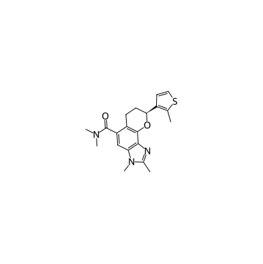 Cc1sccc1[C@@H]1CCc2c(C(=O)N(C)C)cc3c(nc(C)n3C)c2O1